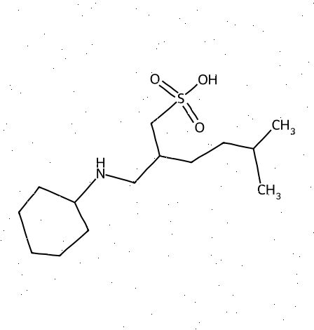 CC(C)CCC(CNC1CCCCC1)CS(=O)(=O)O